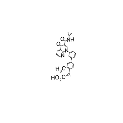 Cc1cc(-c2cccc(-n3cc(C(=O)NC4CC4)c(=O)c4cccnc43)c2)ccc1C1CC1C(=O)O